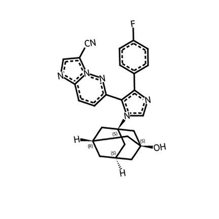 N#Cc1cnc2ccc(-c3c(-c4ccc(F)cc4)ncn3[C@]34C[C@@H]5C[C@@H](C[C@@](O)(C5)C3)C4)nn12